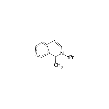 CCCN1C=Cc2ccccc2C1C